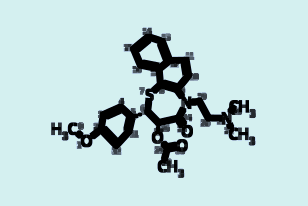 COc1ccc([C@@H]2Sc3c(ccc4ccccc34)N(CCN(C)C)C(=O)[C@@H]2OC(C)=O)cc1